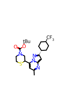 Cc1cc(C2CN(C(=O)OC(C)(C)C)CCS2)n2nc([C@H]3CC[C@H](C(F)(F)F)CC3)cc2n1